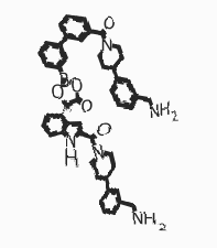 NCc1cccc(C2CCN(C(=O)c3cccc(-c4cccc(B5OC(=O)[C@H](c6cccc7[nH]c(C(=O)N8CCC(c9cccc(CN)c9)CC8)cc67)O5)c4)c3)CC2)c1